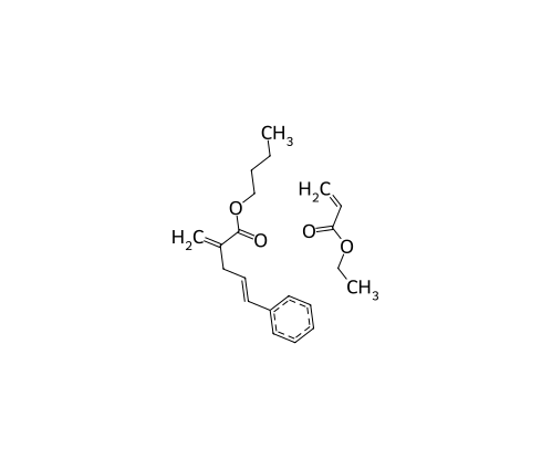 C=C(CC=Cc1ccccc1)C(=O)OCCCC.C=CC(=O)OCC